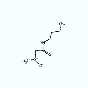 CCCCNC(=O)C[S+](C)[O-]